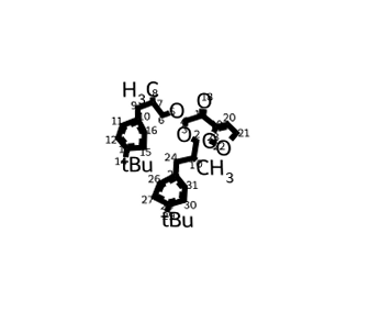 CC(COC(OCC(C)Cc1ccc(C(C)(C)C)cc1)C(=O)C1=CCOO1)Cc1ccc(C(C)(C)C)cc1